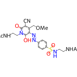 COCc1c(/N=N/c2ccc(S(=O)(=O)NCCNC(C)=O)cc2)c(O)n(CCNC(C)=O)c(=O)c1C#N